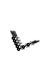 O=C(O)c1ccccc1.O=C(O)c1ccccc1.O=C(O)c1ccccc1.O=C(O)c1ccccc1.O=C(O)c1ccccc1.O=C(O)c1ccccc1.O=C(O)c1ccccc1.[NaH].[NaH].[NaH].[NaH].[NaH].[NaH].[NaH].[NaH].[NaH].[NaH].[NaH].[NaH].[NaH]